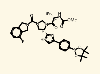 COC(=O)N[C@H](C(=O)N1CN(C(=O)N2Cc3cccc(F)c3C2)C[C@H]1c1nc(-c2ccc(B3OC(C)(C)C(C)(C)O3)cc2)c[nH]1)C(C)C